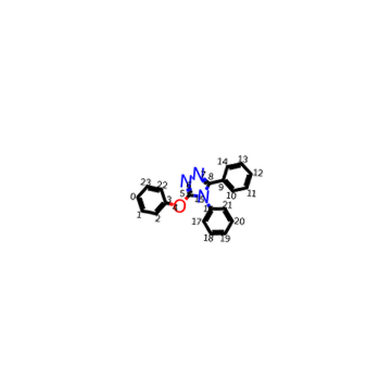 c1ccc(Oc2nnc(-c3ccccc3)n2-c2ccccc2)cc1